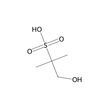 CC(C)(CO)S(=O)(=O)O